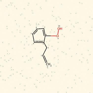 C=CCc1ccccc1OO